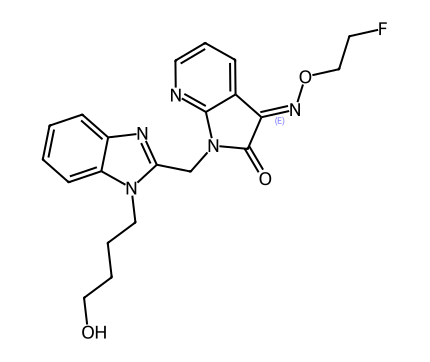 O=C1/C(=N/OCCF)c2cccnc2N1Cc1nc2ccccc2n1CCCCO